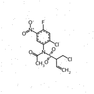 C=CC(CCl)S(=O)(=O)N(C(C)=O)c1cc([N+](=O)[O-])c(F)cc1Cl